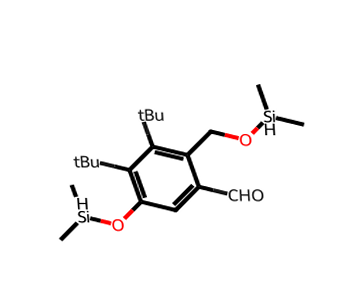 C[SiH](C)OCc1c(C=O)cc(O[SiH](C)C)c(C(C)(C)C)c1C(C)(C)C